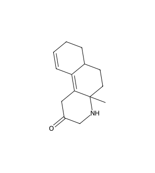 CC12CCC3CCC=CC3=C1CC(=O)CN2